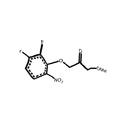 COCC(=O)COc1c([N+](=O)[O-])ccc(F)c1F